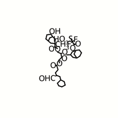 CC1(C(=O)OCC2OC(C3CC4CCCC(OC(=O)C(F)(F)S(=O)(=O)O)(C4)C3)OC2COC(=O)CCC(C=O)CC2CCCCC2)CC2CCC(O)C(C2)C1